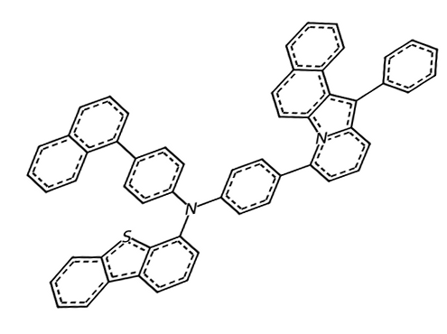 c1ccc(-c2c3c4ccccc4ccc3n3c(-c4ccc(N(c5ccc(-c6cccc7ccccc67)cc5)c5cccc6c5sc5ccccc56)cc4)cccc23)cc1